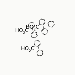 O=C(O)c1ccccc1-c1ccccc1.O=C(O)c1ccccc1-c1ccccc1.O=C(O)c1ccccc1-c1ccccc1.c1ccccc1